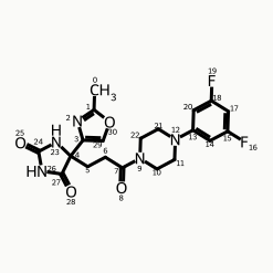 Cc1nc(C2(CCC(=O)N3CCN(c4cc(F)cc(F)c4)CC3)NC(=O)NC2=O)co1